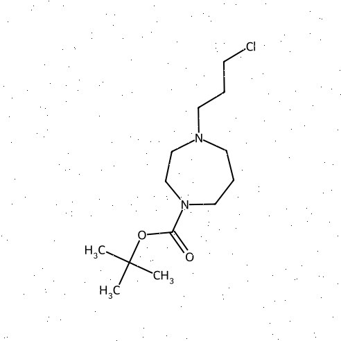 CC(C)(C)OC(=O)N1CCCN(CCCCl)CC1